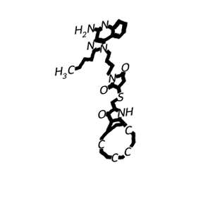 CCCCc1nc2c(N)nc3ccccc3c2n1CCCCN1C(=O)CC(SCC2NC3C4CCCCCCCCCCC(C4)C3C2=O)C1=O